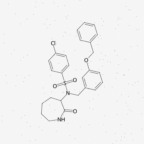 O=C1NCCCCC1N(Cc1cccc(OCc2ccccc2)c1)S(=O)(=O)c1ccc(Cl)cc1